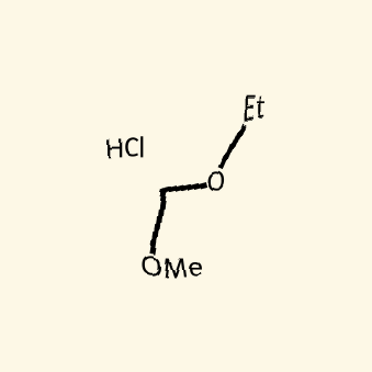 CCOCOC.Cl